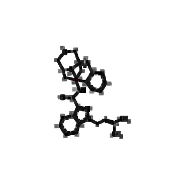 CC(C)=CCn1nc(C(=O)NC2CC3COCC(C2)N3Cc2ccccc2N)c2ccccc21